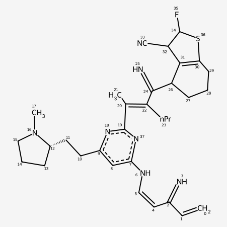 C=CC(=N)/C=C\Nc1cc(CC[C@@H]2CCCN2C)nc(/C(C)=C(\CCC)C(=N)C2CCCC3=C2C(C#N)C(F)S3)n1